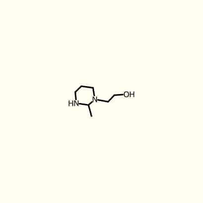 CC1NCCCN1CCO